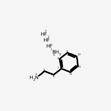 B.F.F.F.NCCc1ccccc1